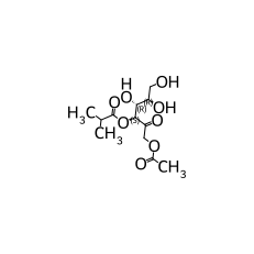 CC(=O)OCC(=O)[C@@H](OC(=O)C(C)C)[C@H](O)[C@H](O)CO